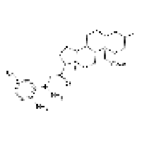 COCC12CCC(C)CC1CCC1C3CCC(C(=O)CN(N)c4cc(Cl)ccc4N)C3(C)CCC12